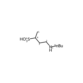 CCCCNCCC(C)S(=O)(=O)O